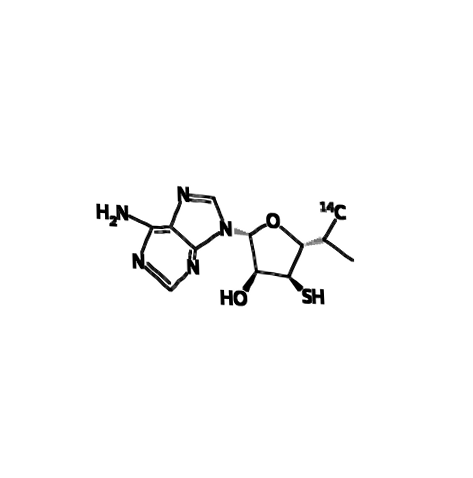 CC([14CH3])[C@H]1O[C@@H](n2cnc3c(N)ncnc32)[C@H](O)[C@@H]1S